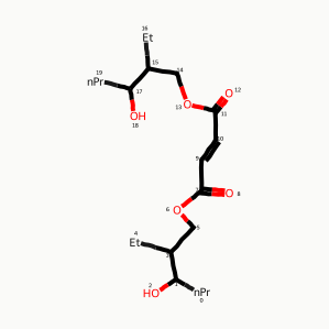 CCCC(O)C(CC)COC(=O)C=CC(=O)OCC(CC)C(O)CCC